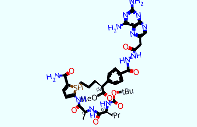 COC(=O)[C@@H](CCC[SH]1C(NC(=O)[C@H](C)NC(=O)[C@@H](NC(=O)OC(C)(C)C)C(C)C)=CC=C1C(N)=O)c1ccc(C(=O)NNC(=O)Cc2cnc3nc(N)nc(N)c3n2)cc1